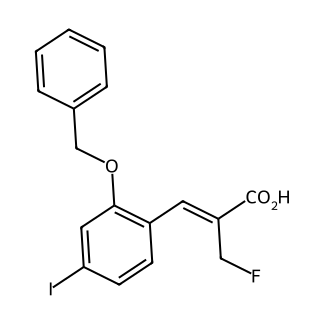 O=C(O)C(=Cc1ccc(I)cc1OCc1ccccc1)CF